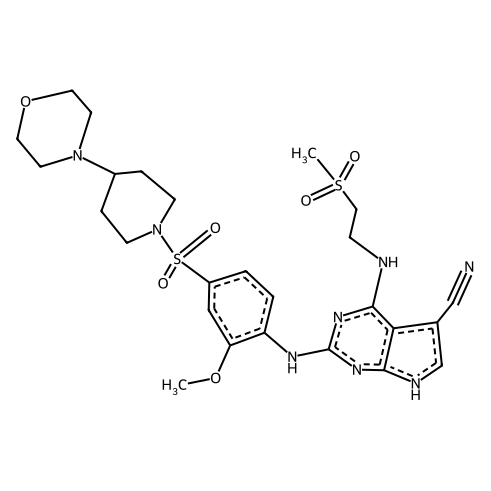 COc1cc(S(=O)(=O)N2CCC(N3CCOCC3)CC2)ccc1Nc1nc(NCCS(C)(=O)=O)c2c(C#N)c[nH]c2n1